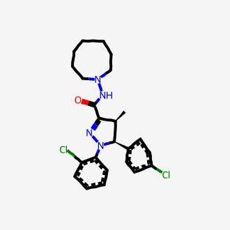 C[C@@H]1C(C(=O)NN2CCCCCCC2)=NN(c2ccccc2Cl)[C@@H]1c1ccc(Cl)cc1